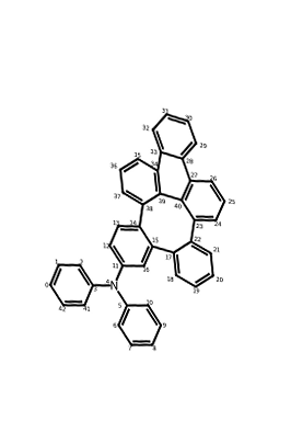 c1ccc(N(c2ccccc2)c2ccc3c(c2)c2ccccc2c2cccc4c5ccccc5c5cccc3c5c24)cc1